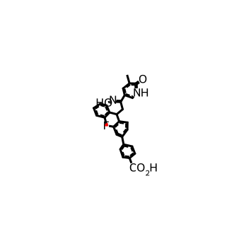 Cc1ccccc1C(C/C(=N\O)c1c[nH]c(=O)c(C)c1)c1ccc(-c2ccc(C(=O)O)cc2)cc1F